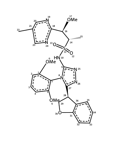 COc1cccc(OC)c1-n1c(NS(=O)(=O)[C@@H](C)[C@H](OC)c2ncc(C)cn2)nnc1[C@@H]1COc2ccccc21